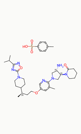 Cc1cc(OCC[C@@H](C)C2CCN(c3nc(C(C)C)no3)CC2)cnc1N1C[C@H](N)[C@@H](N2CCCCC2=O)C1.Cc1ccc(S(=O)(=O)O)cc1